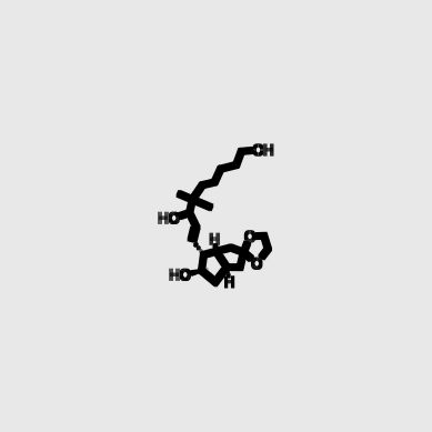 CC(C)(CCCCCO)C(O)C=C[C@@H]1[C@@H]2CC3(C[C@H]2C[C@H]1O)OCCO3